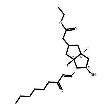 CCCCCCC(=O)C=C[C@@H]1[C@@H]2CC(CC(=O)OCC)C[C@H]2C[C@H]1O